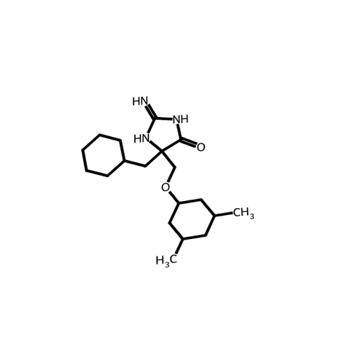 CC1CC(C)CC(OCC2(CC3CCCCC3)NC(=N)NC2=O)C1